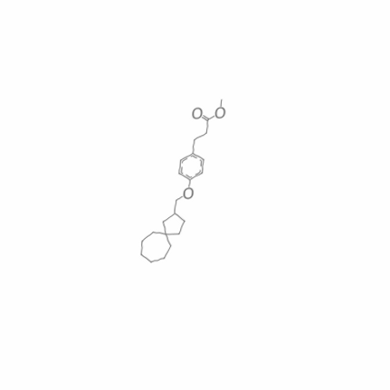 COC(=O)CCc1ccc(OCC2CCC3(CCCCCC3)C2)cc1